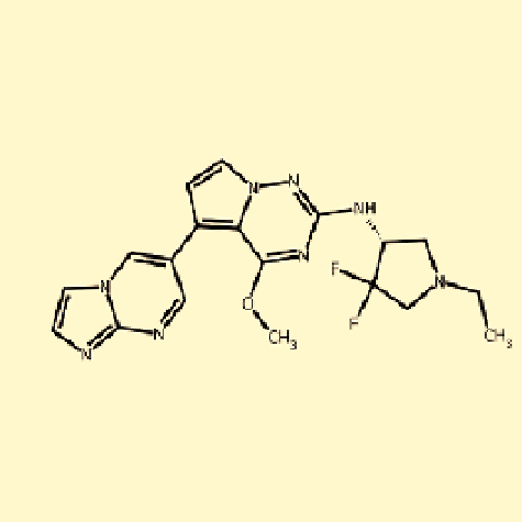 CCN1C[C@@H](Nc2nc(OC)c3c(-c4cnc5nccn5c4)ccn3n2)C(F)(F)C1